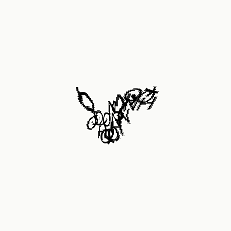 Cc1ccc([S@](=O)OC[C@H]2O[C@@H](n3cnc4c(NC(=O)OC(C)(C)C)ncnc43)[C@@H]3OC(C)(C)O[C@@H]32)cc1